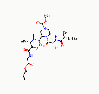 C=CCOC(=O)CNC(=O)C(=O)C(CCC)NC(=O)C1CN(C(=O)OC(C)(C)C)CCN1C(=O)[C@@H](NC(=O)[C@@H](NC(C)=O)C(C)C)C(C)C